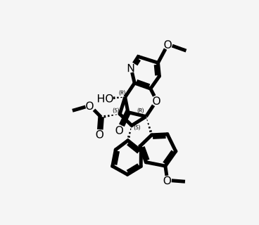 COC(=O)[C@H]1[C@@H](c2ccccc2)[C@]2(c3ccc(OC)cc3)Oc3cc(OC)cnc3[C@@]1(O)C2=O